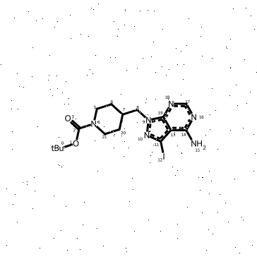 CC(C)(C)OC(=O)N1CCC(Cn2nc(I)c3c(N)ncnc32)CC1